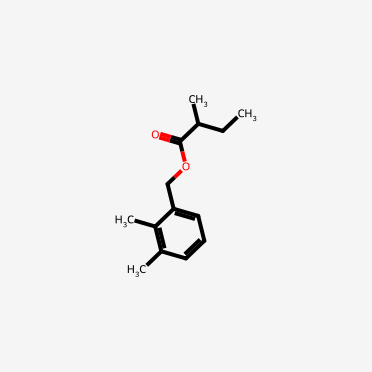 CCC(C)C(=O)OCc1cccc(C)c1C